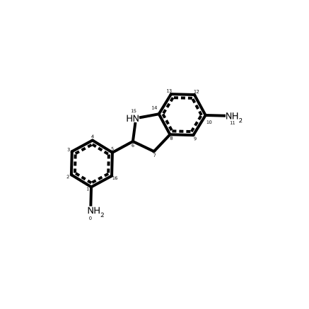 Nc1cccc(C2Cc3cc(N)ccc3N2)c1